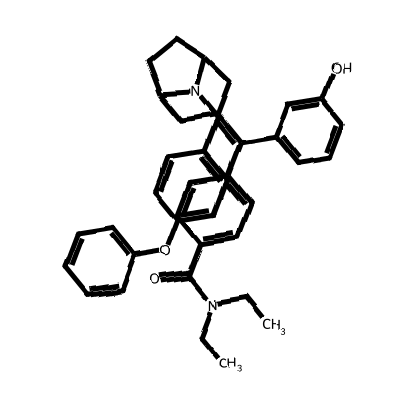 CCN(CC)C(=O)c1ccc(C(=C2CC3CCC(C2)N3Cc2ccc(Oc3ccccc3)cc2)c2cccc(O)c2)cc1